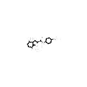 COc1ccc(C=O)c2cc(C(=O)Nc3ccc(C(C)(C)C)cc3)oc12